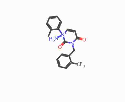 Cc1ccccc1[N+]1(N)C=CC(=O)N(Cc2ccccc2C(F)(F)F)C1=O